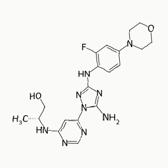 C[C@H](CO)Nc1cc(-n2nc(Nc3ccc(N4CCOCC4)cc3F)nc2N)ncn1